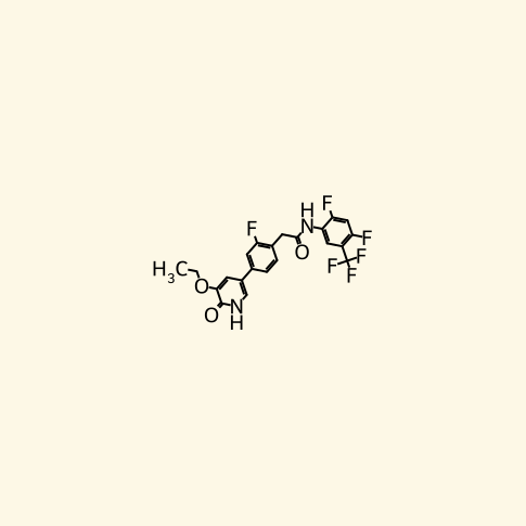 CCOc1cc(-c2ccc(CC(=O)Nc3cc(C(F)(F)F)c(F)cc3F)c(F)c2)c[nH]c1=O